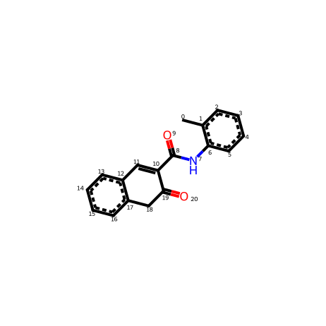 Cc1ccccc1NC(=O)C1=Cc2ccccc2CC1=O